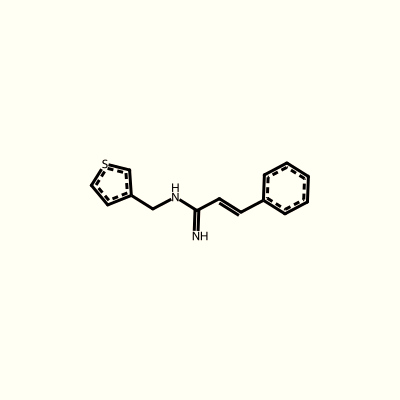 N=C(/C=C/c1ccccc1)NCc1ccsc1